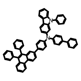 c1ccc(-c2ccc(N(c3ccc(-c4ccc5c(c4)c(-c4ccccc4)c(-c4ccccc4)c4ccccc45)cc3)c3ccc4c5ccccc5n(-c5ccccc5)c4c3)cc2)cc1